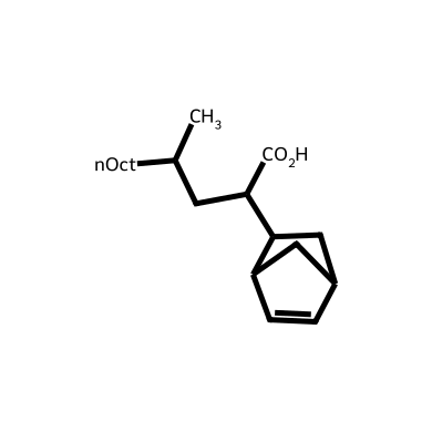 CCCCCCCCC(C)CC(C(=O)O)C1CC2C=CC1C2